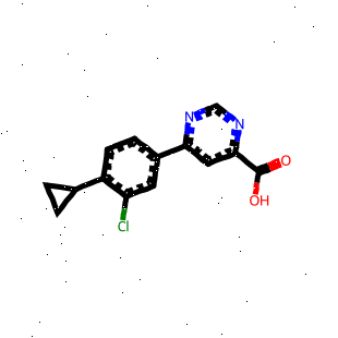 O=C(O)c1cc(-c2ccc(C3CC3)c(Cl)c2)ncn1